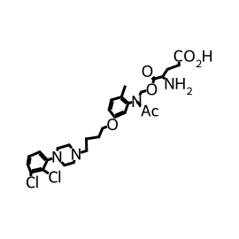 CC(=O)N(COC(=O)C(N)CCC(=O)O)c1cc(OCCCCN2CCN(c3cccc(Cl)c3Cl)CC2)ccc1C